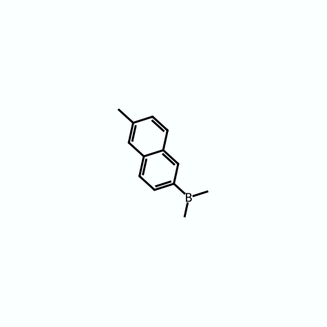 CB(C)c1ccc2cc(C)ccc2c1